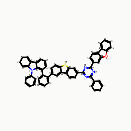 C1=c2c(n(-c3ccccc3)c3c(-c4ccccc4-c4ccc5sc6cc(-c7nc(-c8ccccc8)nc(-c8ccc9c(c8)oc8ccccc89)n7)ccc6c5c4)cccc23)=CCC1